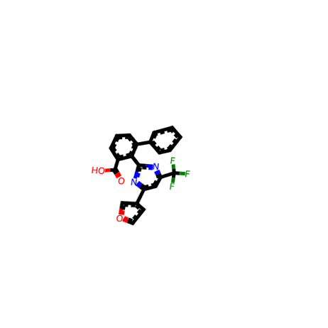 O=C(O)c1cccc(-c2ccccc2)c1-c1nc(-c2ccoc2)cc(C(F)(F)F)n1